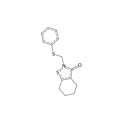 O=c1c2c(sn1CSc1ccccc1)CCCC2